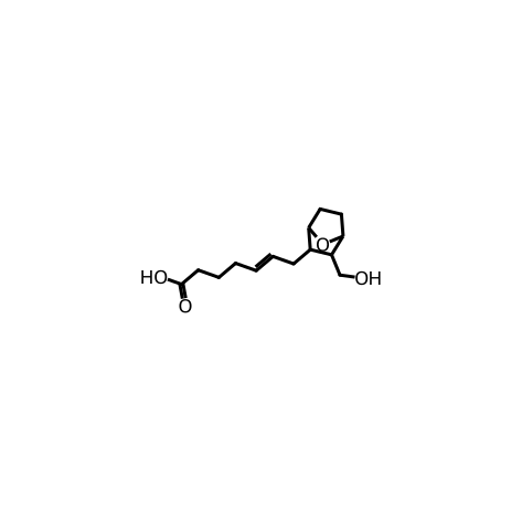 O=C(O)CCC/C=C/CC1C2CCC(O2)C1CO